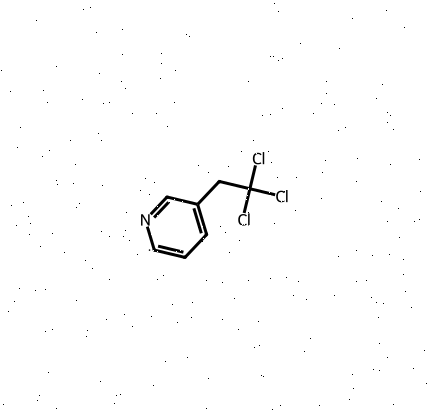 ClC(Cl)(Cl)Cc1cc[c]nc1